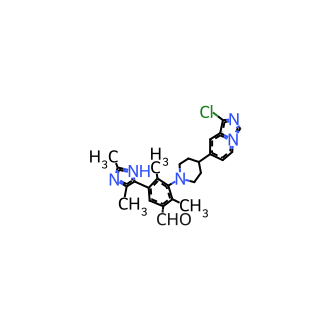 Cc1nc(C)c(-c2cc(C=O)c(C)c(N3CCC(c4ccn5cnc(Cl)c5c4)CC3)c2C)[nH]1